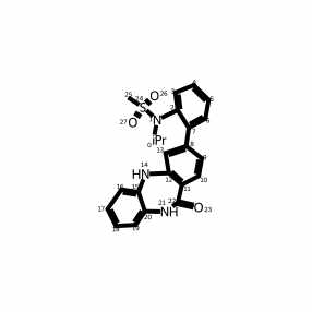 CC(C)N(c1ccccc1-c1ccc2c(c1)Nc1ccccc1NC2=O)S(C)(=O)=O